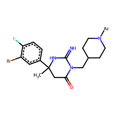 CC(=O)N1CCC(CN2C(=N)NC(C)(c3ccc(F)c(Br)c3)CC2=O)CC1